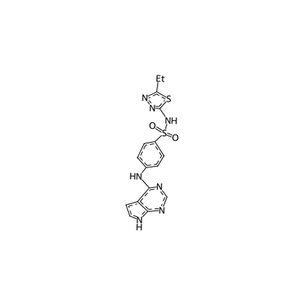 CCc1nnc(NS(=O)(=O)c2ccc(Nc3ncnc4[nH]ccc34)cc2)s1